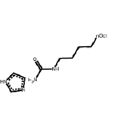 CCCCCCCCCCCCNC(N)=O.c1c[nH]cn1